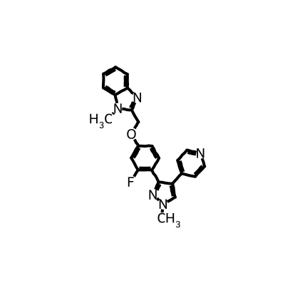 Cn1cc(-c2ccncc2)c(-c2ccc(OCc3nc4ccccc4n3C)cc2F)n1